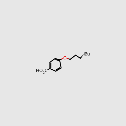 CC[C@H](C)CCCOc1ccc(C(=O)O)cc1